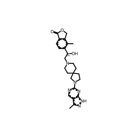 Cc1c([C@@H](O)CN2CCC3(CC2)CCN(c2ncc4c(C)n[nH]c4n2)C3)ccc2c1COC2=O